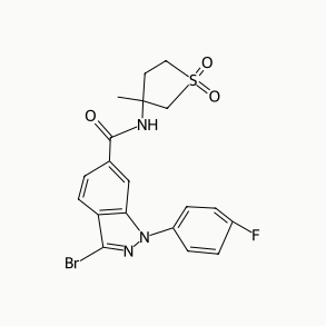 CC1(NC(=O)c2ccc3c(Br)nn(-c4ccc(F)cc4)c3c2)CCS(=O)(=O)C1